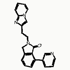 O=C1c2c(cccc2-c2cccnc2)CN1CCc1cn2ccccc2n1